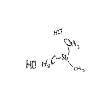 Cl.Cl.[CH3][Sb]([CH3])[CH3]